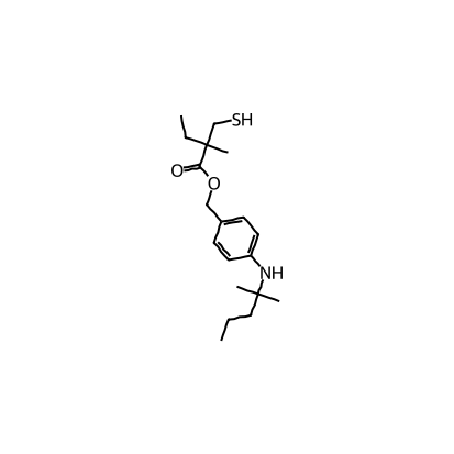 CCCC(C)(C)Nc1ccc(COC(=O)C(C)(CC)CS)cc1